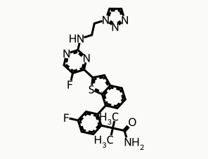 CC(C)(C(N)=O)c1ccc(F)cc1-c1cccc2cc(-c3nc(NCCn4ccnn4)ncc3F)sc12